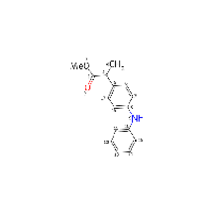 COC(=O)C(C)c1ccc(Nc2ccccc2)cc1